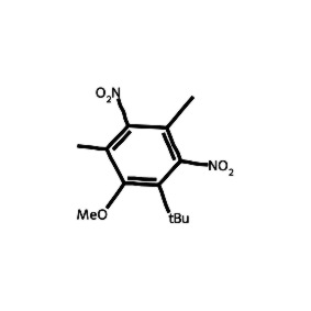 COc1c(C)c([N+](=O)[O-])c(C)c([N+](=O)[O-])c1C(C)(C)C